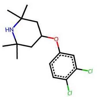 CC1(C)CC(Oc2ccc(Cl)c(Cl)c2)CC(C)(C)N1